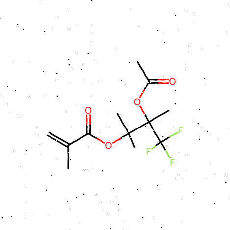 C=C(C)C(=O)OC(C)(C)C(C)(OC(C)=O)C(F)(F)F